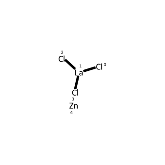 [Cl][La]([Cl])[Cl].[Zn]